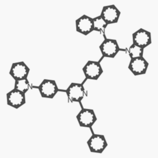 c1ccc(-c2ccc(-c3nc(-c4ccc(-c5cc(-n6c7ccccc7c7ccccc76)cc(-n6c7ccccc7c7ccccc76)c5)cc4)cc(-c4ccc(-n5c6ccccc6c6ccccc65)cc4)n3)cc2)cc1